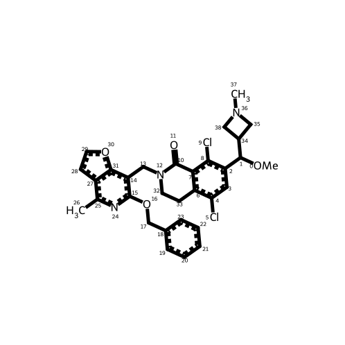 COC(c1cc(Cl)c2c(c1Cl)C(=O)N(Cc1c(OCc3ccccc3)nc(C)c3ccoc13)CC2)C1CN(C)C1